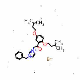 CC(C)CCOc1ccc(OCCC(C)C)c(C(=O)C[n+]2ccn(Cc3ccccc3)c2)c1.[Br-]